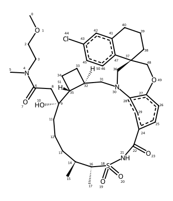 COCCN(C)C(=O)C[C@]1(O)CCC[C@H](C)[C@@H](C)S(=O)(=O)NC(=O)c2ccc3c(c2)N(C[C@@H]2CC[C@H]21)C[C@@]1(CCCc2cc(Cl)ccc21)CO3